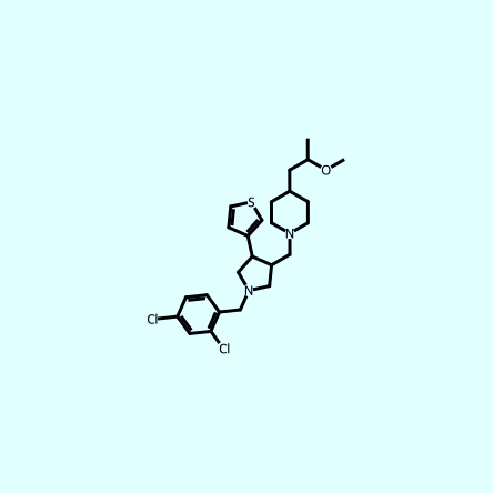 COC(C)CC1CCN(CC2CN(Cc3ccc(Cl)cc3Cl)CC2c2ccsc2)CC1